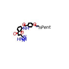 CCCCC/C=C/Oc1ccc(C(=O)Nc2cccc3c(=O)cc(-c4nnn[nH]4)oc23)cc1